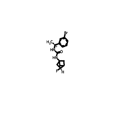 C[C@H](NC(=O)NC12CC(C1)[C@@H](F)C2)c1cccc(Br)c1